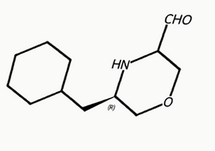 O=CC1COC[C@@H](CC2CCCCC2)N1